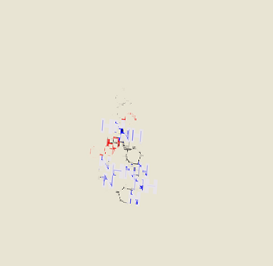 CC(C)(C)OC(=O)N1CCN(Cc2ccnc(Nc3nc4ccc(C(=O)NNC(=O)CC5CCC5)cc4[nH]3)c2)CC1